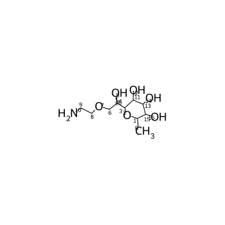 CC1OC([C@H](O)COCCN)C(O)C(O)C1O